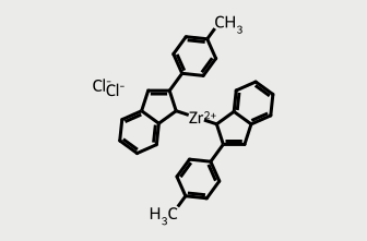 Cc1ccc(C2=Cc3ccccc3[CH]2[Zr+2][CH]2C(c3ccc(C)cc3)=Cc3ccccc32)cc1.[Cl-].[Cl-]